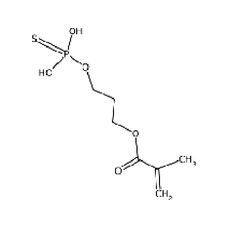 C=C(C)C(=O)OCCCOP(O)(O)=S